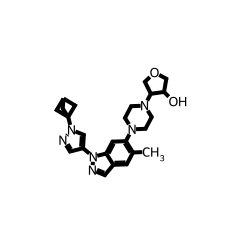 Cc1cc2cnn(-c3cnn(C45CC(C4)C5)c3)c2cc1N1CCN(C2COCC2O)CC1